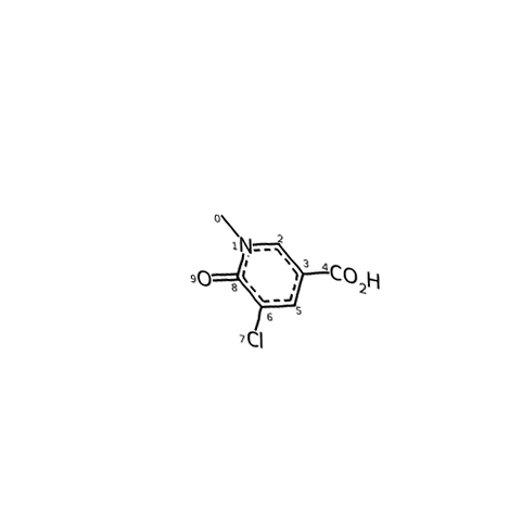 Cn1cc(C(=O)O)cc(Cl)c1=O